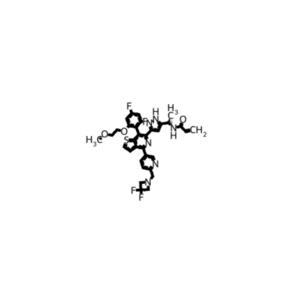 C=CC(=O)N[C@H](C)c1cc(-c2nc(-c3ccc(CN4CC(F)(F)C4)nc3)c3ccsc3c2-c2c(F)cc(F)cc2OCCOC)n[nH]1